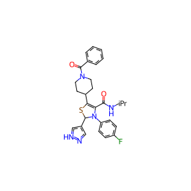 CC(C)NC(=O)C1=C(C2CCN(C(=O)c3ccccc3)CC2)SC(c2cn[nH]c2)N1c1ccc(F)cc1